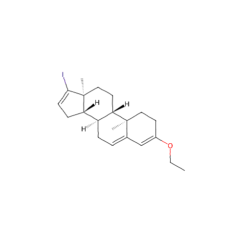 CCOC1=CC2=CC[C@@H]3[C@H](CC[C@]4(C)C(I)=CC[C@@H]34)[C@@]2(C)CC1